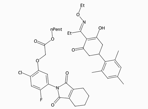 CCCCCOC(=O)COc1cc(N2C(=O)C3=C(CCCC3)C2=O)c(F)cc1Cl.CCO/N=C(\CC)C1=C(O)CC(c2c(C)cc(C)cc2C)CC1=O